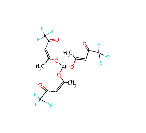 C/C(=C/C(=O)C(F)(F)F)[O][Al]([O]/C(C)=C\C(=O)C(F)(F)F)[O]/C(C)=C/C(=O)C(F)(F)F